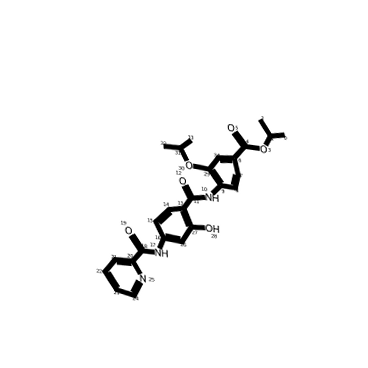 CC(C)OC(=O)c1ccc(NC(=O)c2ccc(NC(=O)c3ccccn3)cc2O)c(OC(C)C)c1